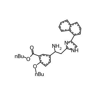 CCCCOC(=O)c1cc(C(N)Cc2nc(-c3cccc4ccccc34)c[nH]2)ccc1OCCCC